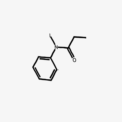 CCC(=O)N(I)c1[c]cccc1